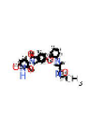 Cc1cnc(C2CN(C3CCCC[C@H]3Oc3ccc4c(c3)CN(C3CCC(=O)NC3=O)C4=O)C2)o1